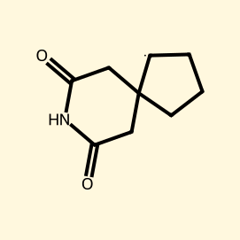 O=C1CC2([CH]CCC2)CC(=O)N1